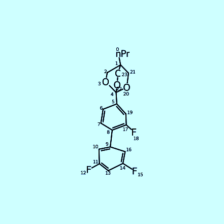 CCCC12COC(c3ccc(-c4cc(F)cc(F)c4)c(F)c3)(OC1)OC2